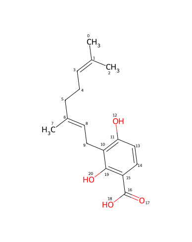 CC(C)=CCC/C(C)=C/Cc1c(O)ccc(C(=O)O)c1O